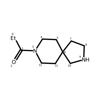 CCC(=O)N1CCC2(CCNC2)CC1